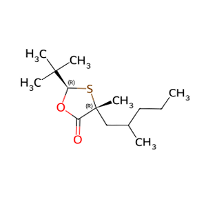 CCCC(C)C[C@@]1(C)S[C@H](C(C)(C)C)OC1=O